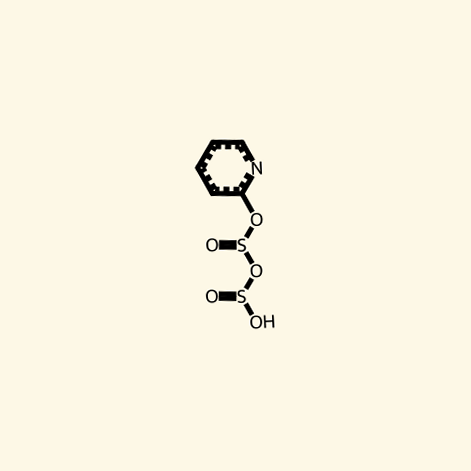 O=S(O)OS(=O)Oc1ccccn1